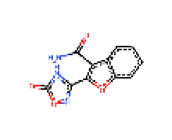 NC(=O)c1c(-c2noc(=O)[nH]2)oc2ccccc12